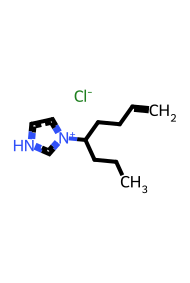 C=CCCC(CCC)[n+]1cc[nH]c1.[Cl-]